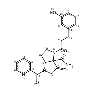 NC(=O)C12C(=O)CN(C(=O)c3ccccn3)C1CCN2C(=O)[CH]Cc1cccc(O)c1